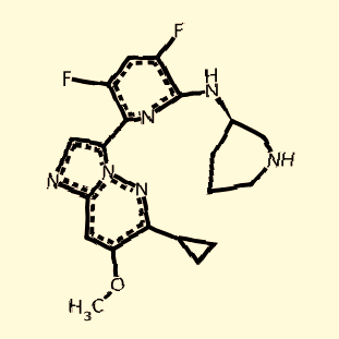 COc1cc2ncc(-c3nc(N[C@@H]4CCCNC4)c(F)cc3F)n2nc1C1CC1